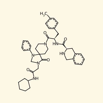 Cc1ccc(C[C@@H](NC(=O)[C@H]2Cc3ccccc3CN2)C(=O)N2CCC3(CC2)C(=O)N(CC(=O)NC2CCCCC2)CN3c2ccccc2)cc1